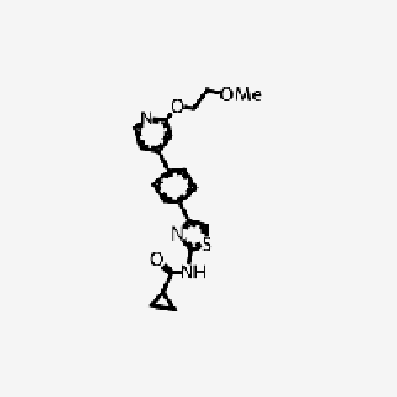 COCCOc1cc(-c2ccc(-c3csc(NC(=O)C4CC4)n3)cc2)ccn1